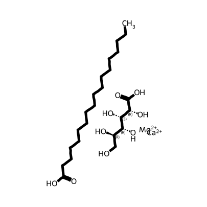 CCCCCCCCCCCCCCCCCC(=O)O.O=C(O)[C@H](O)[C@@H](O)[C@H](O)[C@H](O)CO.[Ca+2].[Mg+2]